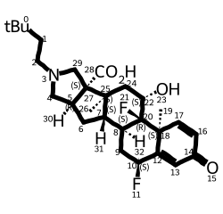 CC(C)(C)CCN1C[C@@H]2C[C@H]3[C@@H]4C[C@H](F)C5=CC(=O)C=C[C@]5(C)[C@@]4(F)[C@@H](O)C[C@]3(C)[C@]2(C(=O)O)C1